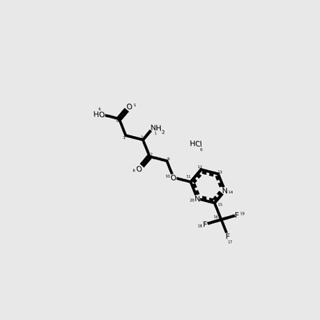 Cl.NC(CC(=O)O)C(=O)COc1ccnc(C(F)(F)F)n1